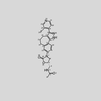 CC(=O)NC[C@H]1CN(c2ccc3c(c2)CCCc2c(-c4ccncc4F)n[nH]c2-3)C(=O)O1